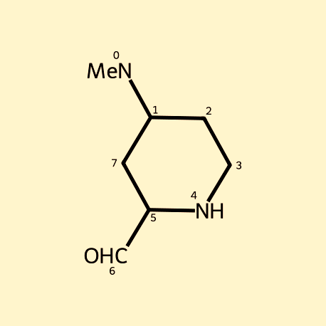 CNC1CCNC(C=O)C1